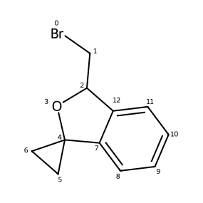 BrCC1OC2(CC2)c2ccccc21